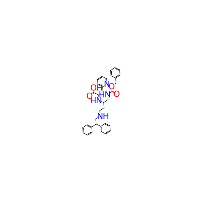 O=C(NCC(CCNCC(c1ccccc1)c1ccccc1)N[C@@H](Cc1ccccn1)C(=O)O)OCc1ccccc1